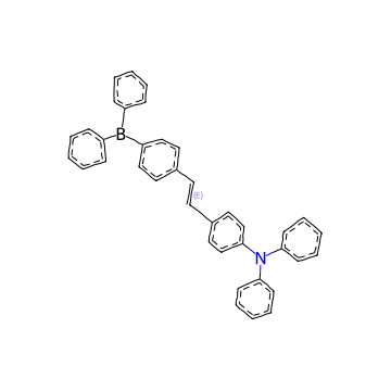 C(=C\c1ccc(N(c2ccccc2)c2ccccc2)cc1)/c1ccc(B(c2ccccc2)c2ccccc2)cc1